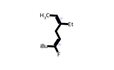 C/C=C(/CC)C/C=C(/F)C(C)CC